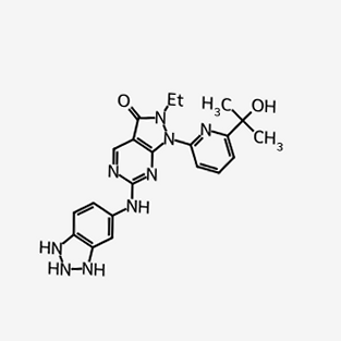 CCn1c(=O)c2cnc(Nc3ccc4c(c3)NNN4)nc2n1-c1cccc(C(C)(C)O)n1